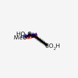 COCCNC(=O)CC[C@H](NC(=O)C1CCN(C(=O)CCCCCCCCCCCCCCCCCCC(=O)O)CC1)C(=O)O